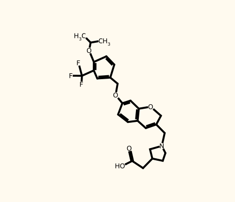 CC(C)Oc1ccc(COc2ccc3c(c2)OCC(CN2CCC(CC(=O)O)C2)=C3)cc1C(F)(F)F